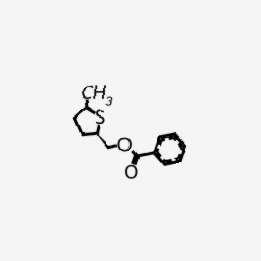 CC1CC[C@H](COC(=O)c2ccccc2)S1